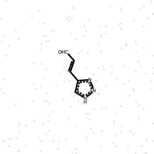 O=CC=Cc1c[nH]nn1